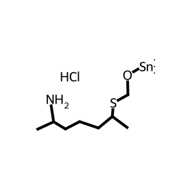 CC(N)CCCC(C)SC[O][Sn].Cl